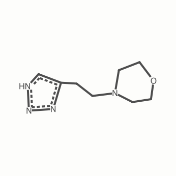 c1[nH]nnc1CCN1CCOCC1